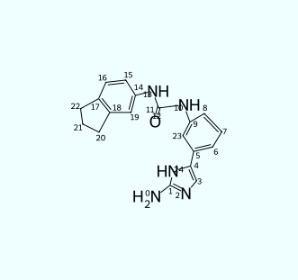 Nc1ncc(-c2cccc(NC(=O)Nc3ccc4c(c3)CCC4)c2)[nH]1